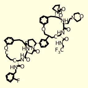 O=C1CCc2cccc(c2)OCCCC[C@@H](C(=O)NCc2ccccc2F)NC(=O)[C@H](CC(=O)N2CCC[C@@H]2c2cccc(C3CC[C@@H](C(=O)NCC(F)(F)F)NC(=O)[C@H](CCN4CCOCC4)NC(=O)[C@@H](N4CCCS4(=O)=O)Cc4cccc(c4)OC3)c2)N1